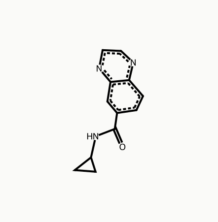 O=C(NC1CC1)c1ccc2nccnc2c1